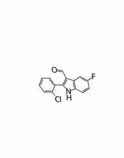 O=Cc1c(-c2ccccc2Cl)[nH]c2ccc(F)cc12